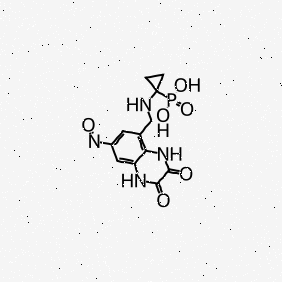 O=Nc1cc(CNC2(P(=O)(O)O)CC2)c2[nH]c(=O)c(=O)[nH]c2c1